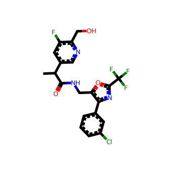 CC(C(=O)NCc1oc(C(F)(F)F)nc1-c1cccc(Cl)c1)c1cnc(CO)c(F)c1